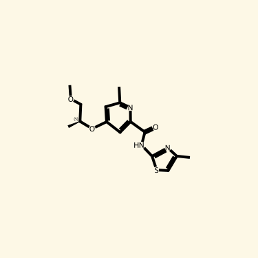 COC[C@H](C)Oc1cc(C)nc(C(=O)Nc2nc(C)cs2)c1